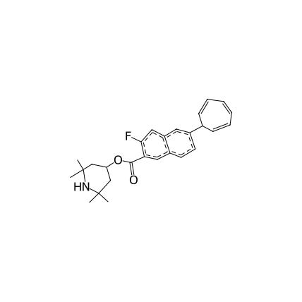 CC1(C)CC(OC(=O)c2cc3ccc(C4C=CC=CC=C4)cc3cc2F)CC(C)(C)N1